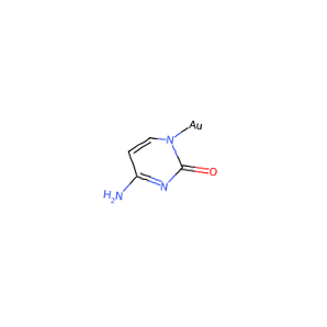 Nc1cc[n]([Au])c(=O)n1